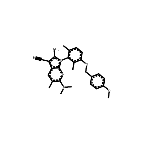 COc1ccc(COc2ccc(C)c(-n3c(N)c(C#N)c4cc(C)c(N(C)C)nc43)c2C)cc1